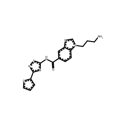 NCCCn1cnc2cc(C(=O)Nc3nc(-c4ccco4)ns3)ccc21